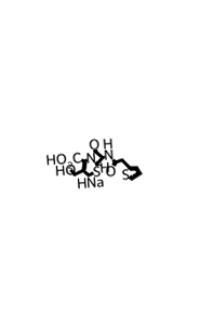 O=C(Cc1cccs1)N[C@@H]1C(=O)N2C(C(=O)O)=C(CO)CS[C@H]12.[NaH]